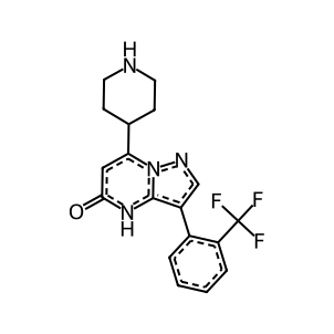 O=c1cc(C2CCNCC2)n2ncc(-c3ccccc3C(F)(F)F)c2[nH]1